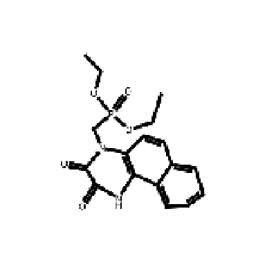 CCOP(=O)(Cn1c(=O)c(=O)[nH]c2c3ccccc3ccc21)OCC